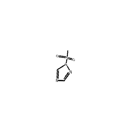 CS(=O)(=O)n1cncn1